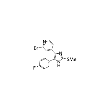 CSc1nc(-c2ccnc(Br)c2)c(-c2ccc(F)cc2)[nH]1